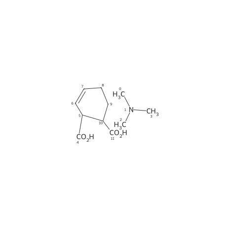 CN(C)C.O=C(O)C1C=CCCC1C(=O)O